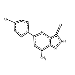 Cc1cc(-c2ccc(Cl)cc2)nn2c(=O)[nH]nc12